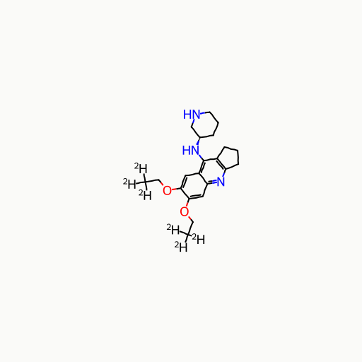 [2H]C([2H])([2H])COc1cc2nc3c(c(N[C@@H]4CCCNC4)c2cc1OCC([2H])([2H])[2H])CCC3